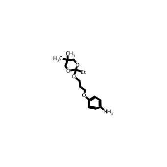 CCC1(OCCCOc2ccc(N)cc2)OCC(C)(C)CO1